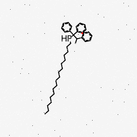 CCCCCCCCCCCCCCCCCCPC(c1ccccc1)(c1ccccc1)C(C)c1ccccc1